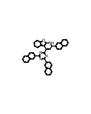 C1=C(c2nc(-c3ccc4ccccc4c3)nc(-c3ccc4ccccc4c3)n2)c2c(oc3ccccc23)NC1c1ccc2ccccc2c1